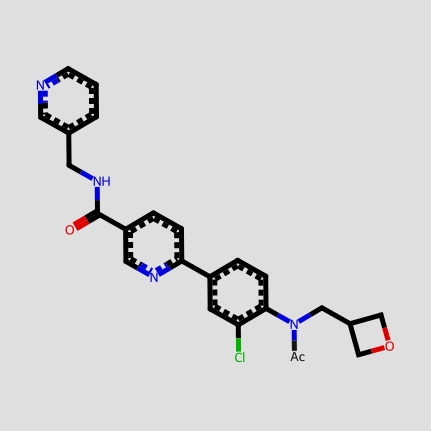 CC(=O)N(CC1COC1)c1ccc(-c2ccc(C(=O)NCc3cccnc3)cn2)cc1Cl